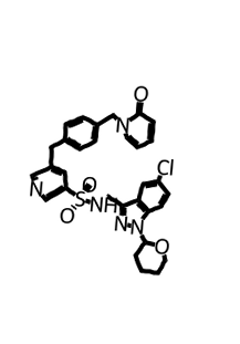 O=c1ccccn1Cc1ccc(Cc2cncc(S(=O)(=O)NCc3nn(C4CCCCO4)c4ccc(Cl)cc34)c2)cc1